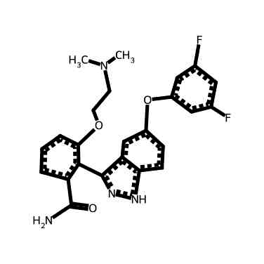 CN(C)CCOc1cccc(C(N)=O)c1-c1n[nH]c2ccc(Oc3cc(F)cc(F)c3)cc12